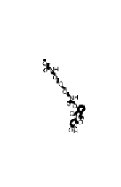 COCC(=O)NCCOCCOCCOCCNC(=O)COc1cccc2c1C(=O)N(C1CCC(=O)NC1=O)C2=O